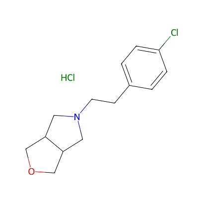 Cl.Clc1ccc(CCN2CC3COCC3C2)cc1